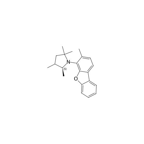 Cc1ccc2c(oc3ccccc32)c1N1[C@@H](C)C(C)CC1(C)C